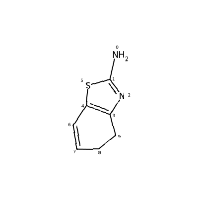 Nc1nc2c(s1)C=CCC2